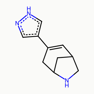 C1=C(c2cn[nH]c2)CC2CC1CN2